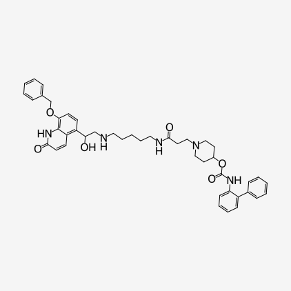 O=C(CCN1CCC(OC(=O)Nc2ccccc2-c2ccccc2)CC1)NCCCCCNCC(O)c1ccc(OCc2ccccc2)c2[nH]c(=O)ccc12